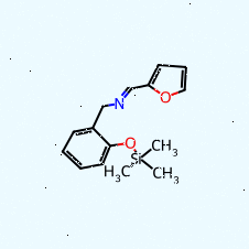 C[Si](C)(C)Oc1ccccc1CN=Cc1ccco1